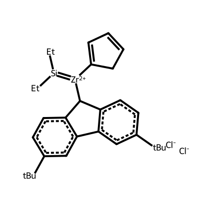 CC[Si](CC)=[Zr+2]([C]1=CC=CC1)[CH]1c2ccc(C(C)(C)C)cc2-c2cc(C(C)(C)C)ccc21.[Cl-].[Cl-]